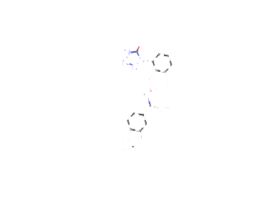 CC(=NOCc1c(Cl)cccc1-n1nnn(C)c1=O)c1ccc2c(c1)OC(F)(F)O2